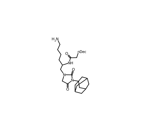 CCCCCCCCCCCC(=O)NC(CCCCN)CN1CC(=O)N(C23CC4CC(CC(C4)C2)C3)C1=O